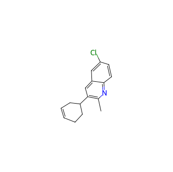 Cc1nc2ccc(Cl)cc2cc1C1CC=CCC1